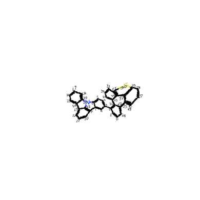 c1cc(-c2ccc3c(c2)c2cccc4c5ccccc5n3c42)c2c(c1)c1cccc3sc4cccc2c4c31